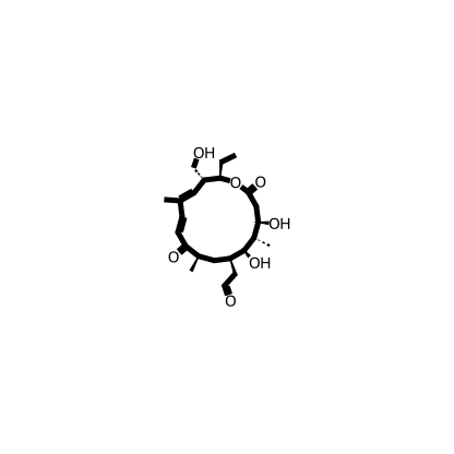 CC[C@H]1OC(=O)C[C@@H](O)[C@H](C)[C@@H](O)[C@@H](CC=O)C[C@@H](C)C(=O)/C=C/C(C)=C/[C@@H]1CO